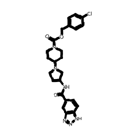 O=C(NC1CCN(C2CCN(C(=O)OCc3ccc(Cl)cc3)CC2)C1)c1ccc2[nH]nnc2c1